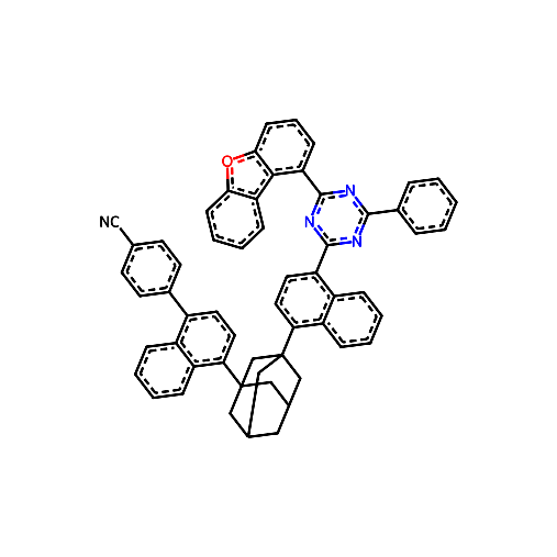 N#Cc1ccc(-c2ccc(C34CC5CC(C3)CC(c3ccc(-c6nc(-c7ccccc7)nc(-c7cccc8oc9ccccc9c78)n6)c6ccccc36)(C5)C4)c3ccccc23)cc1